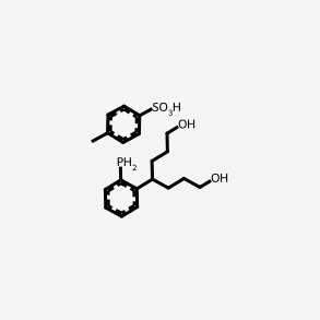 Cc1ccc(S(=O)(=O)O)cc1.OCCCC(CCCO)c1ccccc1P